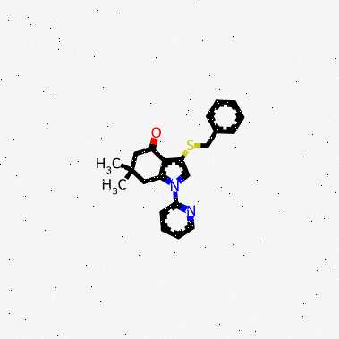 CC1(C)CC(=O)c2c(SCc3ccccc3)cn(-c3ccccn3)c2C1